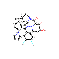 CC1(C)CCN2C(=O)c3c(O)c(=O)ccn3N([C@@H]3c4ccccc4-n4cccc4-c4c3ccc(F)c4F)[C@@H]2C1